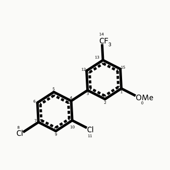 COc1cc(-c2ccc(Cl)cc2Cl)cc(C(F)(F)F)c1